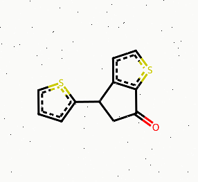 O=C1CC(c2cccs2)c2ccsc21